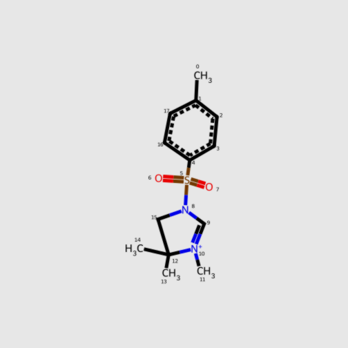 Cc1ccc(S(=O)(=O)N2C=[N+](C)C(C)(C)C2)cc1